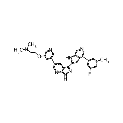 Cc1cc(F)cc(-c2cncc3[nH]c(-c4n[nH]c5ncc(-c6cncc(OCCN(C)C)c6)cc45)cc23)c1